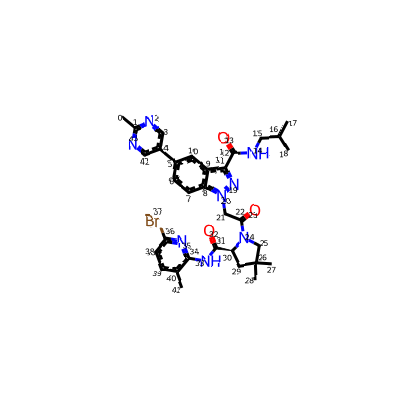 Cc1ncc(-c2ccc3c(c2)c(C(=O)NCC(C)C)nn3CC(=O)N2CC(C)(C)C[C@H]2C(=O)Nc2nc(Br)ccc2C)cn1